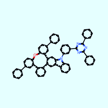 c1ccc(-c2ccc3oc4ccc(-c5ccccc5)cc4c4cc5c(cc4c4ccccc4c3c2)c2ccccc2n5-c2cccc(-c3nc(-c4ccccc4)nc(-c4ccccc4)n3)c2)cc1